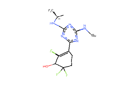 C[C@@H](Nc1nc(NC(C)(C)C)nc(C2=C(F)C(O)C(F)(F)CC2)n1)C(F)(F)F